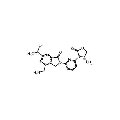 CC(C)N(C)c1cc2c(c(CN)n1)CN(c1cccc(N3C(=O)OC[C@@H]3C)n1)C2=O